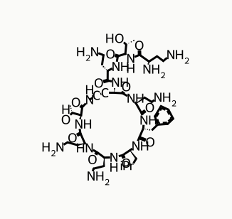 CC(C)C[C@@H]1NC(=O)[C@@H](Cc2ccccc2)NC(=O)[C@H](CCN)NC(=O)[C@@H](NC(=O)[C@H](CCN)NC(=O)[C@@H](NC(=O)[C@@H](N)CCN)[C@@H](C)O)CCNC(=O)[C@H]([C@@H](C)O)NC(=O)[C@H](CCN)NC(=O)[C@H](CCN)NC1=O